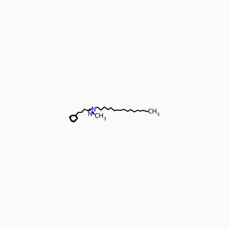 CCCCCCCCCCCCCCCCCn1cc(CCCc2ccccc2)nc1C